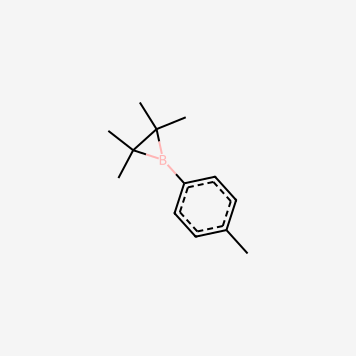 Cc1ccc(B2C(C)(C)C2(C)C)cc1